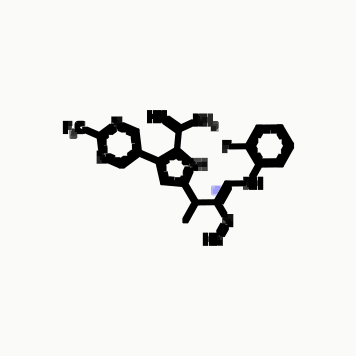 CC(/C(=C/Nc1ccccc1F)N=N)c1cc(-c2cnc(C(F)(F)F)nc2)c(C(=N)N)[nH]1